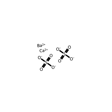 O=S(=O)([O-])[O-].O=S(=O)([O-])[O-].[Ba+2].[Ca+2]